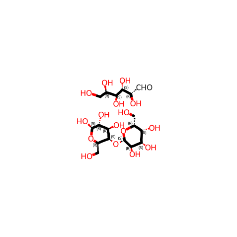 O=C[C@H](O)[C@@H](O)[C@@H](O)[C@H](O)CO.OC[C@H]1O[C@@H](O[C@H]2[C@H](O)[C@@H](O)[C@H](O)O[C@@H]2CO)[C@H](O)[C@@H](O)[C@H]1O